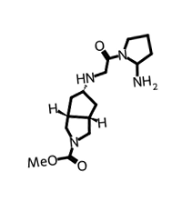 COC(=O)N1C[C@H]2C[C@@H](NCC(=O)N3CCCC3N)C[C@H]2C1